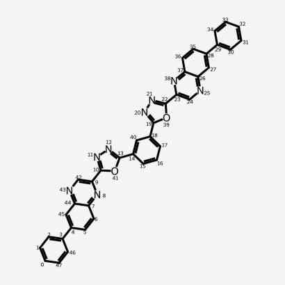 c1ccc(-c2ccc3nc(-c4nnc(-c5cccc(-c6nnc(-c7cnc8cc(-c9ccccc9)ccc8n7)o6)c5)o4)cnc3c2)cc1